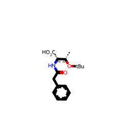 C[C@H](OC(C)(C)C)[C@H](NC(=O)Cc1ccccc1)C(=O)O